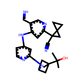 CC(C)(O)C12CC(C1)N(c1cc(Nc3cc(C4(C#N)CC45CC5)ncc3C=N)ccn1)C2